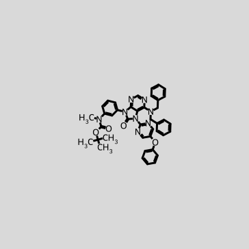 CN(C(=O)OC(C)(C)C)c1cccc(-n2c(=O)n(-c3ncc(Oc4ccccc4)cn3)c3c(N(Cc4ccccc4)Cc4ccccc4)ncnc32)c1